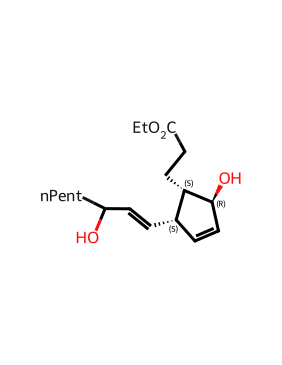 CCCCCC(O)C=C[C@H]1C=C[C@H](O)[C@H]1CCC(=O)OCC